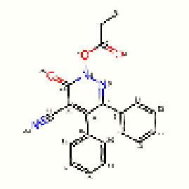 CCC(=O)On1nc(-c2ccccc2)c(-c2ccccc2)c(C#N)c1=O